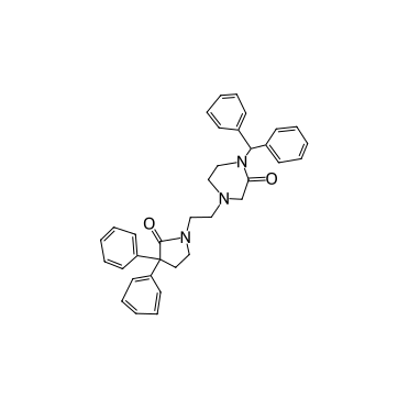 O=C1CN(CCN2CCC(c3ccccc3)(c3ccccc3)C2=O)CCN1C(c1ccccc1)c1ccccc1